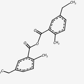 CCc1ccc(C)c(C(=O)OC(=O)c2cc(CC)ccc2C)c1